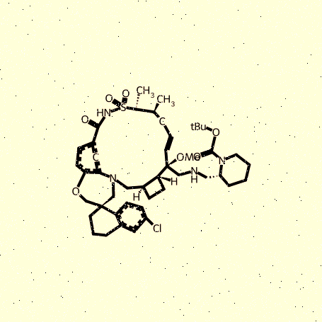 CO[C@]1(CNC[C@H]2CCCCN2C(=O)OC(C)(C)C)/C=C/C[C@H](C)[C@@H](C)S(=O)(=O)NC(=O)c2ccc3c(c2)N(C[C@@H]2CC[C@H]21)C[C@@]1(CCCc2cc(Cl)ccc21)CO3